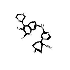 COc1cc(F)ccc1-c1ccnc(Nc2ccc3c(C4CNCCO4)c(C(C)=O)c(=O)oc3c2)c1